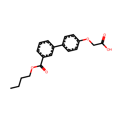 CCCCOC(=O)c1cccc(-c2ccc(OCC(=O)O)cc2)c1